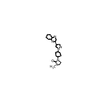 CN1CCN(c2ccc(-n3cc(-c4cnc5ccccc5n4)cn3)cc2)C1=O